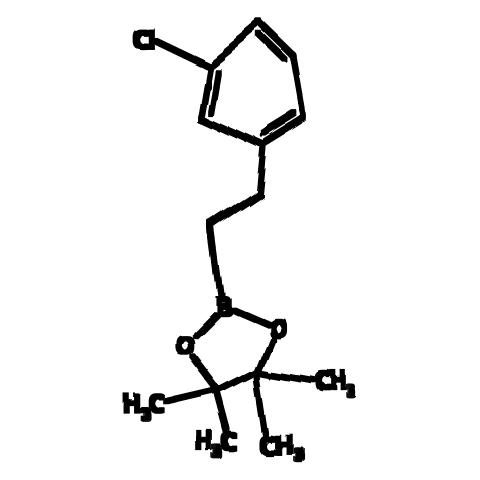 CC1(C)OB(CCc2cccc(Cl)c2)OC1(C)C